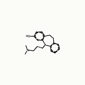 CN(C)CCCC1c2ccccc2CCc2ccc(O)cc21